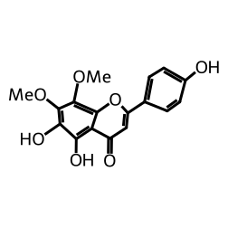 COc1c(O)c(O)c2c(=O)cc(-c3ccc(O)cc3)oc2c1OC